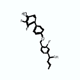 CCCC(O)c1ccc(COc2ccc(-c3ccc(O)c(F)c3F)cc2)c(F)c1